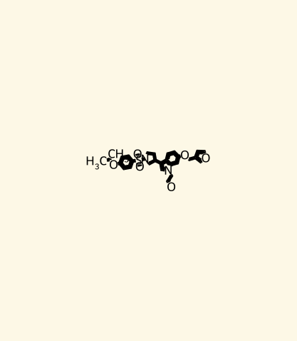 CC(C)Oc1ccc(S(=O)(=O)N2CCC(c3cn(CC=O)c4cc(OCc5ccoc5)ccc34)C2)cc1